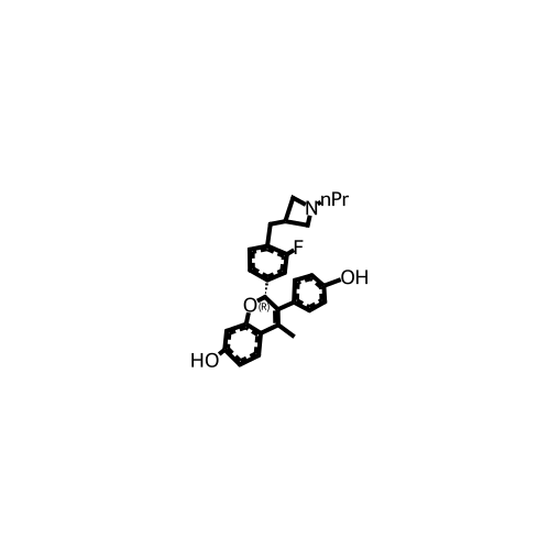 CCCN1CC(Cc2ccc([C@H]3Oc4cc(O)ccc4C(C)=C3c3ccc(O)cc3)cc2F)C1